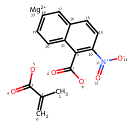 C=C(C)C(=O)[O-].O=C([O-])c1c([N+](=O)[O-])ccc2ccccc12.[Mg+2]